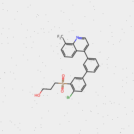 O=S(=O)(CCCO)c1cc(-c2cccc(-c3ccnc4c(C(F)(F)F)cccc34)c2)ccc1Br